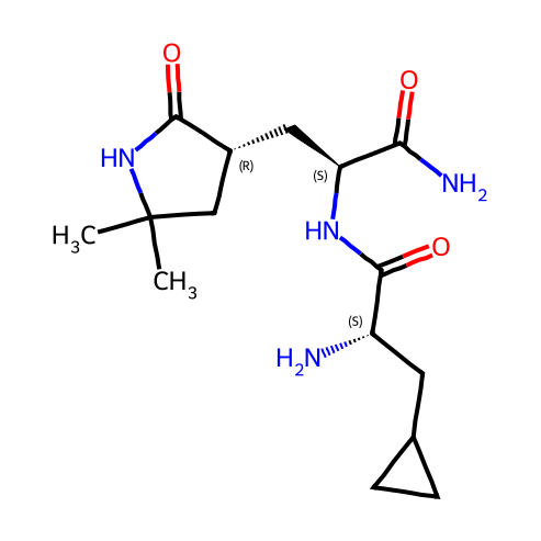 CC1(C)C[C@@H](C[C@H](NC(=O)[C@@H](N)CC2CC2)C(N)=O)C(=O)N1